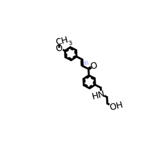 COc1ccc(/C=C/C(=O)c2cccc(CNCCO)c2)cc1